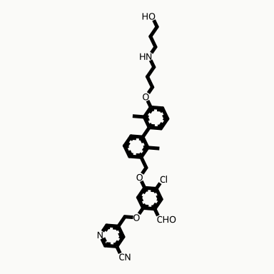 Cc1c(COc2cc(OCc3cncc(C#N)c3)c(C=O)cc2Cl)cccc1-c1cccc(OCCCNCCCO)c1C